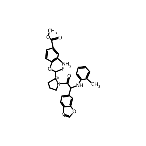 COC(=O)c1ccc(OC(F)[C@@H]2CCCN2C(=O)C(Nc2ccccc2C)c2ccc3ncoc3c2)c(N)c1